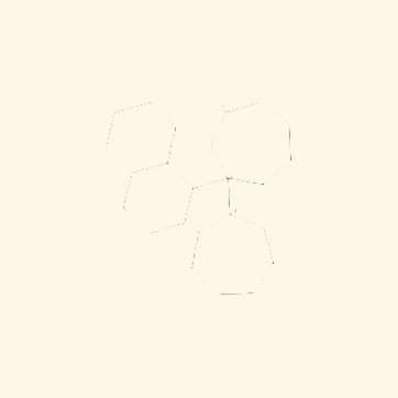 C1CCCC(C2(C3CCCC4CCCCC43)CCCCCC2)CC1